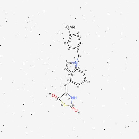 COc1ccc(Cn2ccc3c(C=C4NC(=O)SC4=O)cccc32)cc1